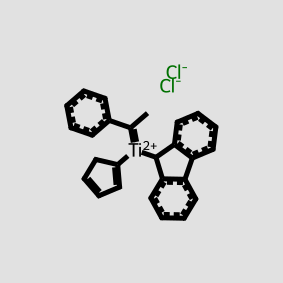 C/[C](c1ccccc1)=[Ti+2](/[C]1=CC=CC1)[CH]1c2ccccc2-c2ccccc21.[Cl-].[Cl-]